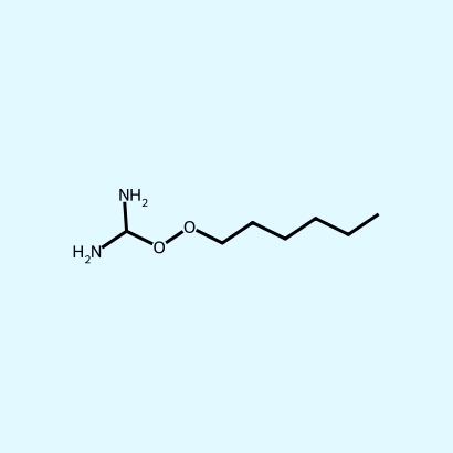 CCCCCCOOC(N)N